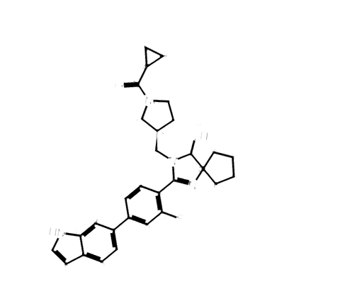 O=C(C1CC1)N1CC[C@@H](CN2C(c3ccc(-c4ccc5cc[nH]c5c4)cc3F)=NC3(CCCC3)C2O)C1